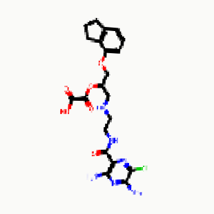 Nc1nc(N)c(C(=O)NCCNCC(COc2cccc3c2CCC3)OC(=O)C(=O)O)nc1Cl